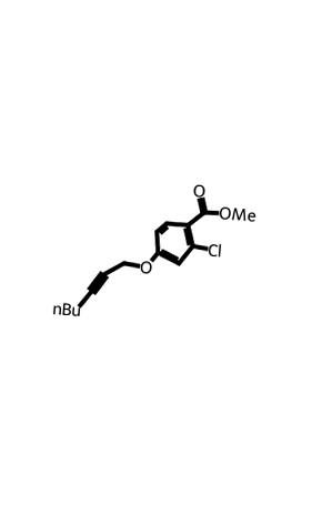 CCCCC#CCOc1ccc(C(=O)OC)c(Cl)c1